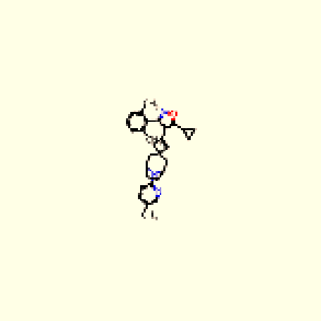 Cc1ccc(N2C3CCC2CC2(C=C(c4c(-c5c(C)cccc5C)noc4C4CC4)C2)C3)nc1